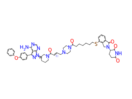 Nc1ncnc2c1c(-c1ccc(Oc3ccccc3)cc1)nn2[C@@H]1CCCN(C(=O)/C=C/CN2CCN(C(=O)CCCCCCSc3cccc4c3CN(C3CCC(=O)NC3=O)C4=O)CC2)C1